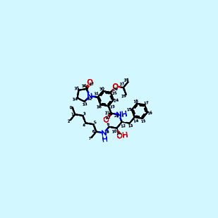 CC(C)CCCC(C)NC[C@H](O)[C@H](Cc1ccccc1)NC(=O)c1cc(OC(C)C)cc(N2CCCC2=O)c1